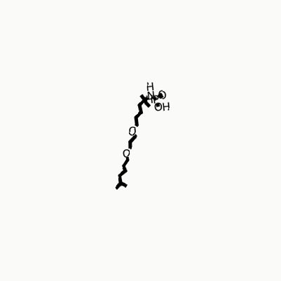 C[C](C)CCCCOCCCOCCCCC(C)(C)N[PH](=O)O